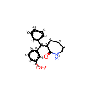 O=C1NCCCCC1C(c1ccccc1)c1cccc(O)c1